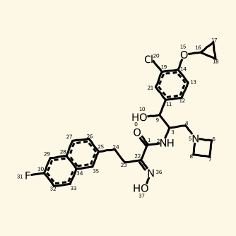 O=C(NC(CN1CCC1)C(O)c1ccc(OC2CC2)c(Cl)c1)/C(CCc1ccc2cc(F)ccc2c1)=N/O